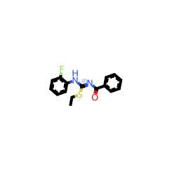 CCS/C(=N\C(=O)c1ccccc1)Nc1ccccc1F